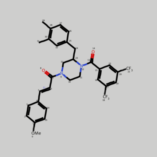 COc1ccc(/C=C/C(=O)N2CCN(C(=O)c3cc(C(F)(F)F)cc(C(F)(F)F)c3)C(Cc3ccc(C)c(C)c3)C2)cc1